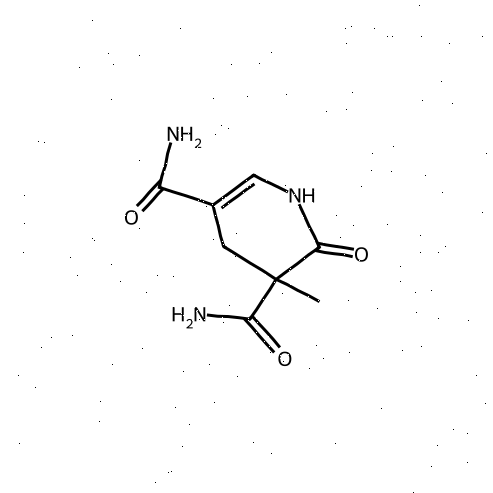 CC1(C(N)=O)CC(C(N)=O)=CNC1=O